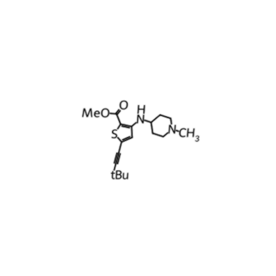 COC(=O)c1sc(C#CC(C)(C)C)cc1NC1CCN(C)CC1